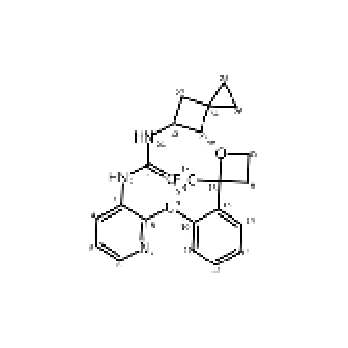 O=C(Nc1cccnc1Oc1ccccc1C1(C(F)(F)F)CCO1)NC1CC2(CC2)C1